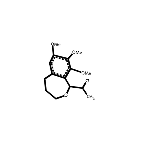 COc1cc2c(c(OC)c1OC)C(C(C)Cl)OCCC2